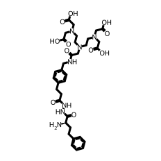 N[C@H](CCc1ccccc1)C(=O)NNC(=O)CCc1ccc(CNC(=O)CN(CCN(CC(=O)O)CC(=O)O)CCN(CC(=O)O)CC(=O)O)cc1